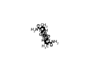 CC1=C[C@@H]2CN(C(=O)N2OS(=O)(=O)ON2C(=O)N3C[C@H]2C=C(C)[C@H]3C(N)=O)[C@@H]1C(N)=O